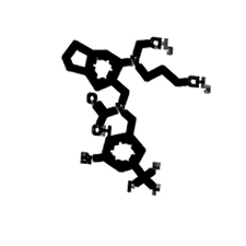 CCCCN(CC)c1cc2c(cc1CN(Cc1cc(Br)cc(C(F)(F)F)c1)C(=O)O)CCC2